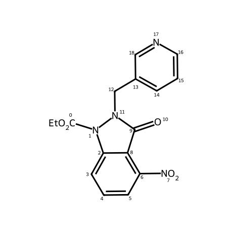 CCOC(=O)n1c2cccc([N+](=O)[O-])c2c(=O)n1Cc1cccnc1